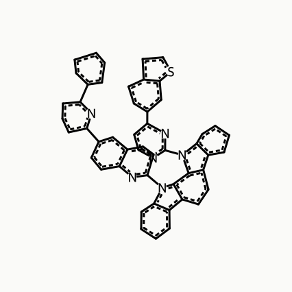 c1ccc(-c2cccc(-c3ccc4nc(-n5c6ccccc6c6ccc7c8ccccc8n(-c8nccc(-c9ccc%10ccsc%10c9)n8)c7c65)ccc4c3)n2)cc1